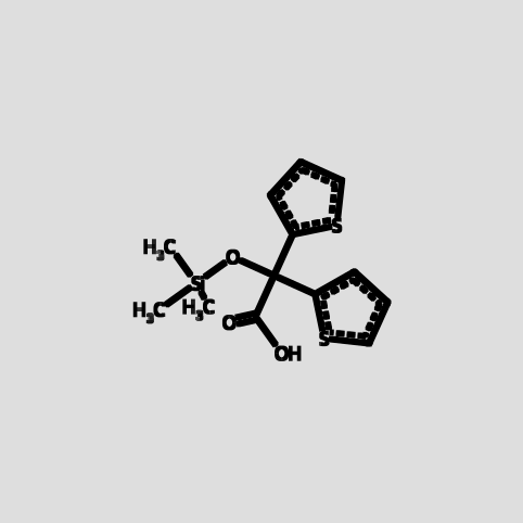 C[Si](C)(C)OC(C(=O)O)(c1cccs1)c1cccs1